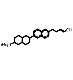 C/C=C/CCc1ccc2cc(C3CCC4CC(CCCCCCC)CCC4C3)ccc2c1